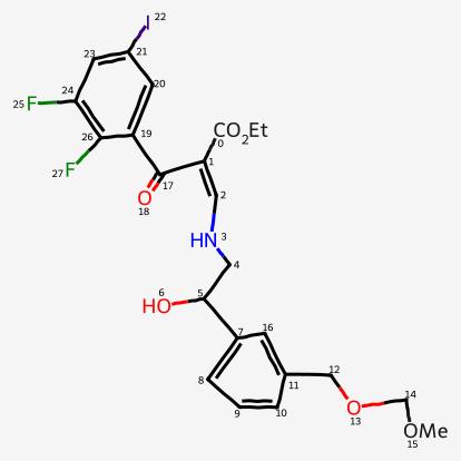 CCOC(=O)C(=CNCC(O)c1cccc(COCOC)c1)C(=O)c1cc(I)cc(F)c1F